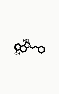 Cl.Oc1cccc2c1CCC1C2CCN1CCC1CCCCC1